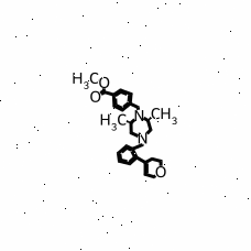 COC(=O)c1ccc(CN2[C@H](C)CN(Cc3ccccc3C3=CCOCC3)C[C@@H]2C)cc1